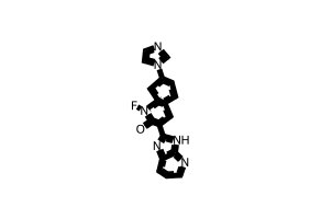 O=c1c(-c2nc3cccnc3[nH]2)cc2ccc(-n3ccnc3)cc2n1F